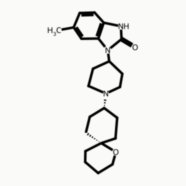 Cc1ccc2[nH]c(=O)n(C3CCN([C@H]4CC[C@]5(CCCCO5)CC4)CC3)c2c1